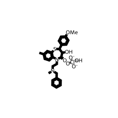 COc1ccc(C2Sc3cc(C)ccc3N(CCN(C)Cc3ccccc3)C(=O)C2O)cc1.[O-][Cl+3]([O-])([O-])O